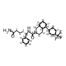 NC(=O)CCC[C@H](NC(=O)N1CCc2c(cccc2-c2ccc(C(F)(F)F)cc2)C1)c1ccccc1